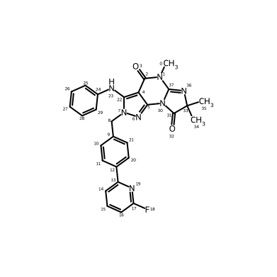 CN1C(=O)c2c(nn(Cc3ccc(-c4cccc(F)n4)cc3)c2Nc2ccccc2)N2C(=O)C(C)(C)N=C12